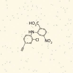 C#Cc1ccc(Nc2cc([N+](=O)[O-])ccc2C(=O)O)c(Cl)c1